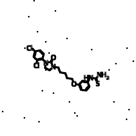 NC(=S)Nc1cccc(OCCCCCN2CCN(c3ccc(Cl)cc3Cl)C2=O)c1